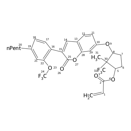 C=CC(=O)OC1CCC(Oc2ccc3cc(-c4ccc(CCCCC)cc4OC(F)(F)F)c(=O)oc3c2)C1(C)C(F)(F)F